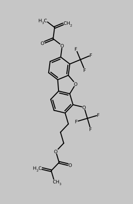 C=C(C)C(=O)OCCCc1ccc2c(oc3c(C(F)(F)F)c(OC(=O)C(=C)C)ccc32)c1OC(F)(F)F